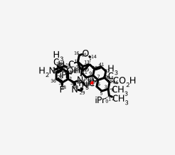 CC(C)[C@@H](C)[C@@]1(C)CC[C@]2(C)[C@H]3CC[C@@H]4[C@@]5(COC[C@@]4(C)[C@@H](OC[C@](C)(N)C(C)C)[C@H](n4ncnc4-c4ccccc4F)C5)C3=CC[C@@]2(C)[C@@H]1C(=O)O